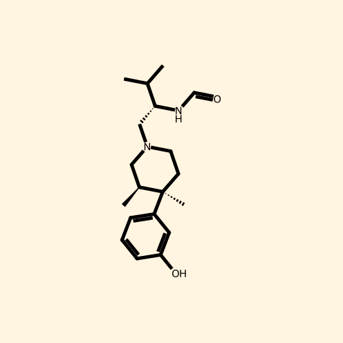 CC(C)[C@@H](CN1CC[C@@](C)(c2cccc(O)c2)[C@@H](C)C1)NC=O